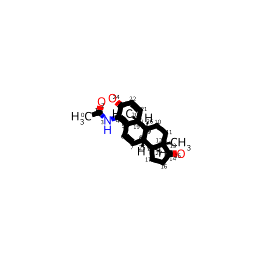 CC(=O)NC1=C2C=C[C@@H]3[C@H](CC[C@]4(C)C(=O)CC[C@@H]34)[C@@]2(C)C=CC1=O